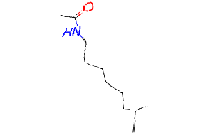 CC(=O)NCCCCCCC(C)C